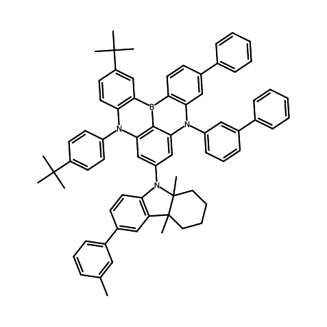 Cc1cccc(-c2ccc3c(c2)C2(C)CCCCC2(C)N3c2cc3c4c(c2)N(c2cccc(-c5ccccc5)c2)c2cc(-c5ccccc5)ccc2B4c2cc(C(C)(C)C)ccc2N3c2ccc(C(C)(C)C)cc2)c1